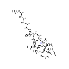 C=C(C1=C(C)CCCC1(C)C)/C(C)=C(\F)c1ccc(C(=O)OCCCCCCC)cc1CC